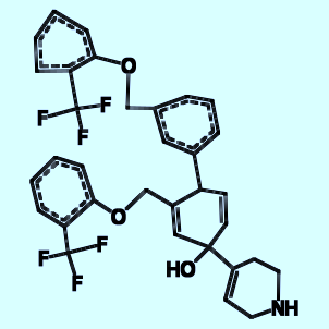 OC1(C2=CCNCC2)C=CC(c2cccc(COc3ccccc3C(F)(F)F)c2)C(COc2ccccc2C(F)(F)F)=C1